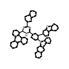 c1ccc2cc(C3=NC(c4cccc5c6ccccc6c6ccccc6c45)NC(c4ccc(-n5c6ccccc6c6cc7ccccc7cc65)c(-c5ccc6c(c5)oc5ccccc56)c4)=N3)ccc2c1